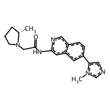 C[C@H]1CCCN1CC(=O)Nc1cc2cc(-c3cncn3C)ccc2cn1